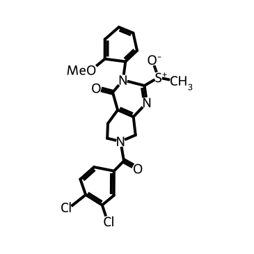 COc1ccccc1-n1c([S+](C)[O-])nc2c(c1=O)CCN(C(=O)c1ccc(Cl)c(Cl)c1)C2